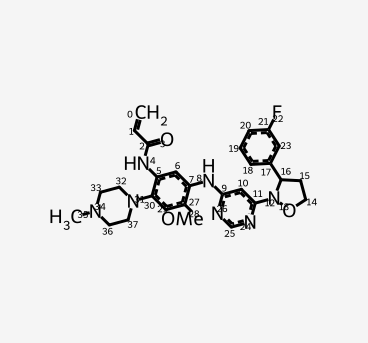 C=CC(=O)Nc1cc(Nc2cc(N3OCCC3c3cccc(F)c3)ncn2)c(OC)cc1N1CCN(C)CC1